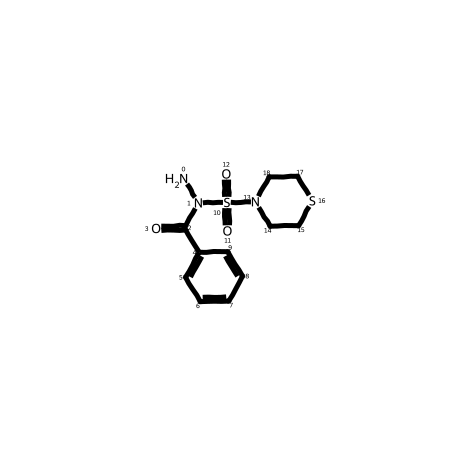 NN(C(=O)c1ccccc1)S(=O)(=O)N1CCSCC1